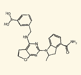 CC1Cc2c(C(N)=O)cccc2N1c1nc(NCc2cccc(B(O)O)c2)c2c(n1)OCC2